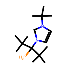 CC(C)(C)N1[C]N(C(P)(C(C)(C)C)C(C)(C)C)C=C1